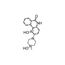 C[N+]1(O)CCN(c2ccc3[nH]c(=O)c4ccccc4c3[n+]2O)CC1